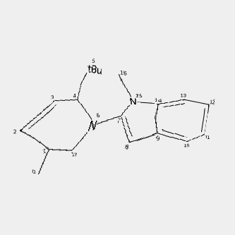 CC1C=CC(C(C)(C)C)N(c2cc3ccccc3n2C)C1